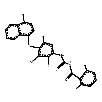 Cc1cc(NC(=S)NC(=O)c2c(F)cccc2F)c(Cl)c(Cl)c1Oc1ccc(Cl)c2ccccc12